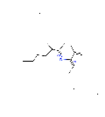 C=C(C)C(=C/C)/N=C(\C)C(C)CCCC